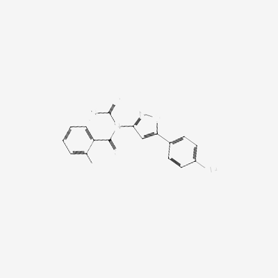 CC(C)(C)c1ccc(-c2cc(N(C(N)=O)C(=O)c3ccccc3Cl)no2)cc1